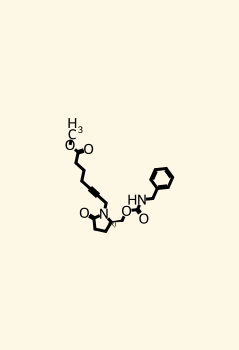 COC(=O)CCCC#CCN1C(=O)CC[C@@H]1COC(=O)NCc1ccccc1